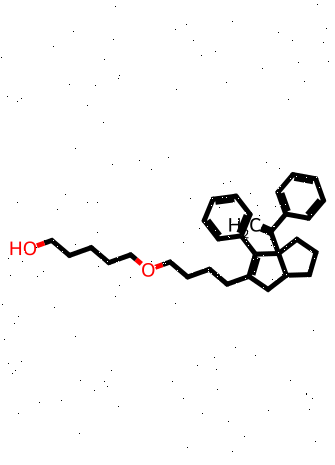 C=C(c1ccccc1)C12CCCC1CC(CCCCOCCCCCO)=C2c1ccccc1